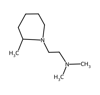 CC1CCCCN1CCN(C)C